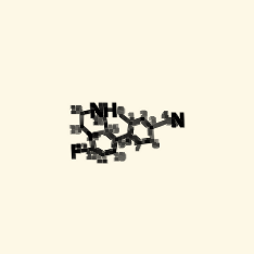 Cc1cc(C#N)ccc1-c1ccc(F)c2c1CNCC2